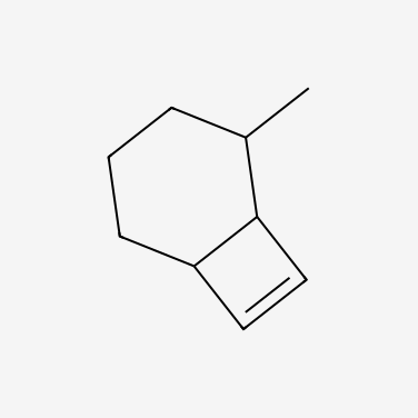 CC1CCCC2C=CC12